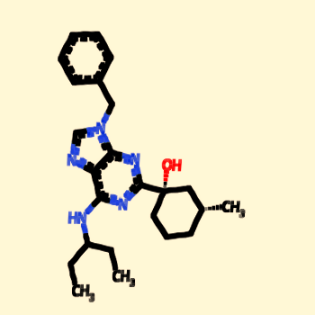 CCC(CC)Nc1nc([C@]2(O)CCC[C@@H](C)C2)nc2c1ncn2Cc1ccccc1